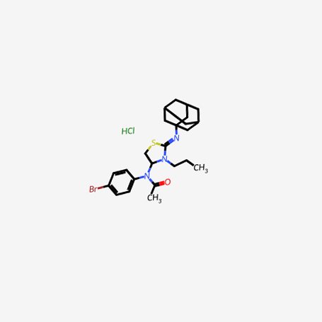 CCCN1C(=NC23CC4CC(CC(C4)C2)C3)SCC1N(C(C)=O)c1ccc(Br)cc1.Cl